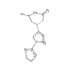 O=C1CC(c2cnc(-c3ccco3)s2)CC(=O)O1